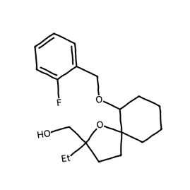 CCC1(CO)CCC2(CCCCC2OCc2ccccc2F)O1